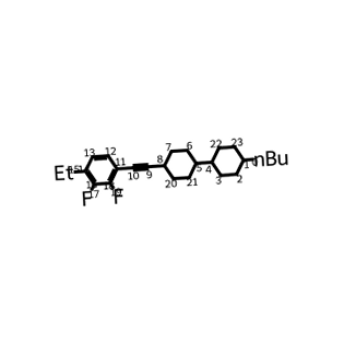 CCCCC1CCC(C2CCC(C#Cc3ccc(CC)c(F)c3F)CC2)CC1